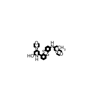 CCC(CN1CCOCC1)Nc1ccc2c(c1)Sc1cccc(C3=CC(N4CCOCC4)=CC(O)N3)c1S2